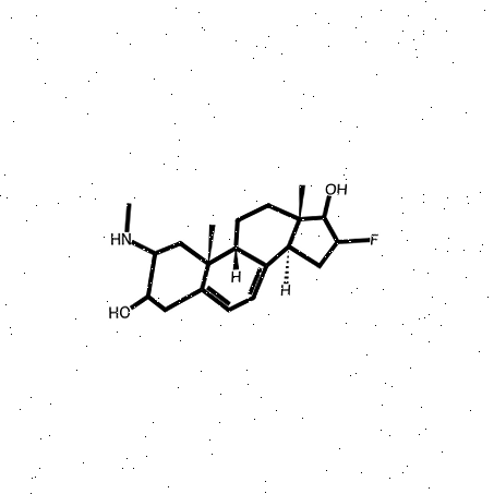 CNC1C[C@@]2(C)C(=CC=C3[C@H]2CC[C@]2(C)C(O)C(F)C[C@@H]32)CC1O